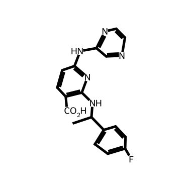 CC(Nc1nc(Nc2cnccn2)ccc1C(=O)O)c1ccc(F)cc1